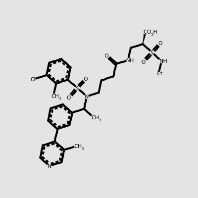 CCNS(=O)(=O)[C@@H](CNC(=O)CCCN(C(C)c1cccc(-c2ccncc2C)c1)S(=O)(=O)c1cccc(Cl)c1C)C(=O)O